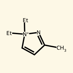 CC[N+]1(CC)C=CC(C)=N1